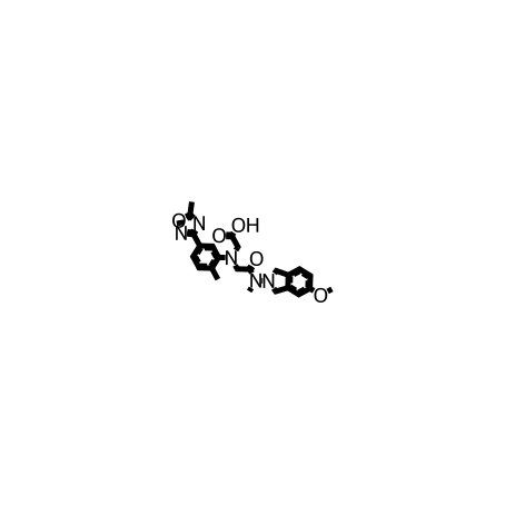 COc1ccc2c(c1)CN(N(C)C(=O)CN(CC(=O)O)c1cc(-c3noc(C)n3)ccc1C)C2